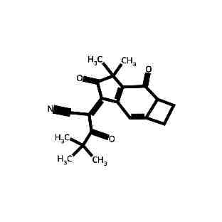 CC(C)(C)C(=O)C(C#N)=C1C(=O)C(C)(C)C2=C1C=C1CCC1C2=O